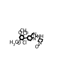 COc1cc(OC)c(Cl)c(-c2ccc3nc(NC4CCN(C=O)C4)ncc3c2)c1Cl